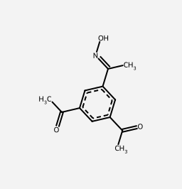 CC(=O)c1cc(C(C)=O)cc(C(C)=NO)c1